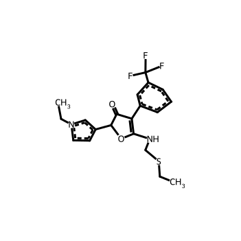 CCSCNC1=C(c2cccc(C(F)(F)F)c2)C(=O)C(c2ccn(CC)c2)O1